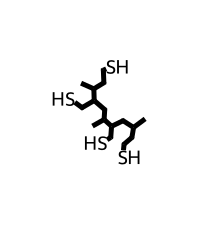 CC(CCS)CC(CS)C(C)CC(CS)C(C)CCS